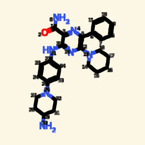 NC(=O)c1nc(-c2ccccc2)c(N2CCCCC2)nc1Nc1ccc(N2CCC(N)CC2)cc1